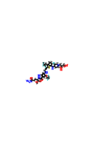 COC(=O)C(CCC(N)=O)NC(=O)c1ccc(NCC#Cc2sc3c(NC4CCN(CC(O)CO)CC4F)cccc3c2CC(F)(F)F)c(OCC(F)(F)F)c1